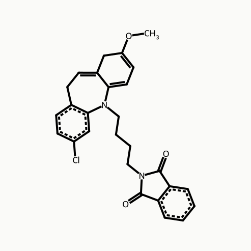 COC1=CC=C2C(=CCc3ccc(Cl)cc3N2CCCCN2C(=O)c3ccccc3C2=O)C1